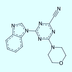 N#Cc1nc(N2CCOCC2)nc(-n2cnc3ccccc32)n1